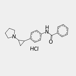 Cl.O=C(Nc1ccc(C2CC2N2CCCC2)cc1)c1ccccc1